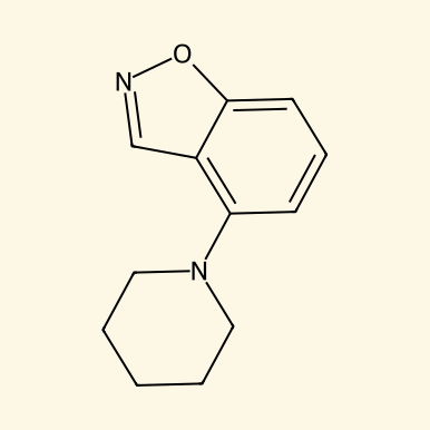 c1cc(N2CCCCC2)c2cnoc2c1